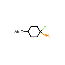 COC1CCC(F)(P)CC1